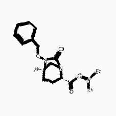 CCN(CC)OC(=O)[C@@H]1CC[C@@H]2CN1C(=O)N2OCc1ccccc1